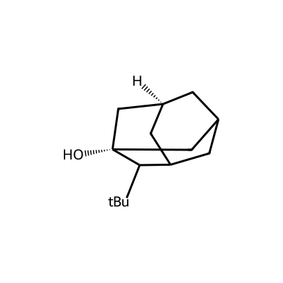 CC(C)(C)C1C2CC3C[C@@H](C2)C[C@@]1(O)C3